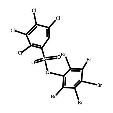 O=S(=O)(Oc1c(Br)c(Br)c(Br)c(Br)c1Br)c1cc(Cl)c(Cl)c(Cl)c1Cl